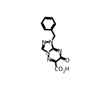 O=C(O)c1nn2cnn(Cc3ccccc3)c2nc1=O